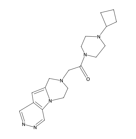 O=C(CN1CCn2c(cc3cnncc32)C1)N1CCN(C2CCC2)CC1